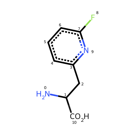 NC(Cc1cccc(F)n1)C(=O)O